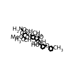 CO[C@@H]1[C@@H](OC(N)=O)[C@@H](O)[C@H](Oc2ccc3c(O)c(NC(O)c4cccc(Oc5cccc(C)c5)c4)c(=O)oc3c2C)OC1(C)C